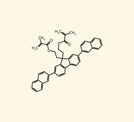 C=C(C)C(=O)OCCC1(CCOC(=O)C(=C)C)c2cc(-c3ccc4ccccc4c3)ccc2-c2ccc(-c3ccc4ccccc4c3)cc21